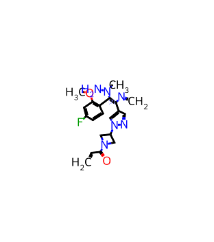 C=CC(=O)N1CC(n2cc(/C(N=C)=C(\c3ccc(F)cc3OC)N(C)N)cn2)C1